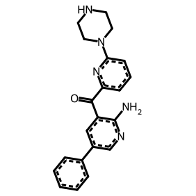 Nc1ncc(-c2ccccc2)cc1C(=O)c1cccc(N2CCNCC2)n1